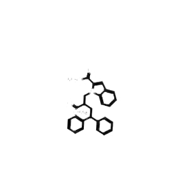 COC(=O)c1cc2ccccc2n1CC(CC(c1ccccc1)c1ccccc1)C(=O)OC